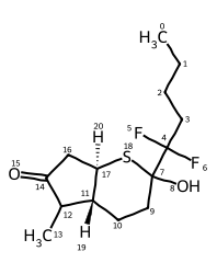 CCCCC(F)(F)C1(O)CC[C@@H]2C(C)C(=O)C[C@H]2S1